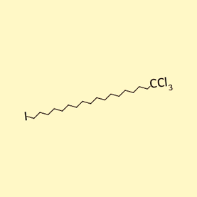 ClC(Cl)(Cl)CCCCCCCCCCCCCCCCCI